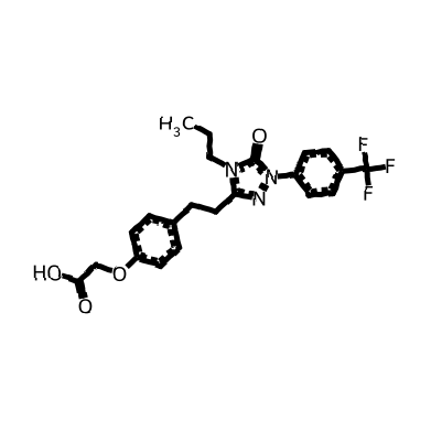 CCCn1c(CCc2ccc(OCC(=O)O)cc2)nn(-c2ccc(C(F)(F)F)cc2)c1=O